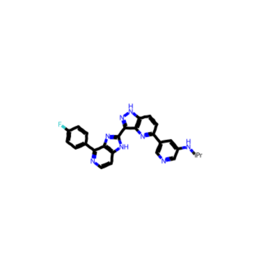 CC(C)Nc1cncc(-c2ccc3[nH]nc(-c4nc5c(-c6ccc(F)cc6)nccc5[nH]4)c3n2)c1